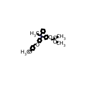 CCOC(COc1ccc(/C(=C(/CC)c2ccccc2)c2ccc(OCc3ccc(OC)cc3)cc2)cc1)OCC